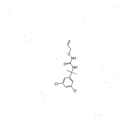 C=CCONC(=O)NC(C)(C)c1cc(Cl)cc(Cl)c1